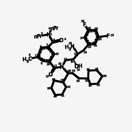 CCCN(CCC)C(=O)c1cc(C)cc(C(=O)N(C[C@@H](O)[C@@H](N)Cc2cc(F)cc(F)c2)C(CCC2CCCCC2)C2CCCCC2)c1